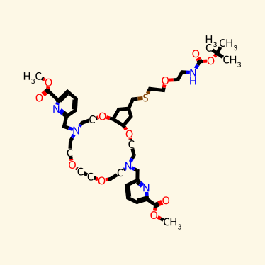 COC(=O)c1cccc(CN2CCOCCOCCN(Cc3cccc(C(=O)OC)n3)CCOC3CC(CSCCOCCNC(=O)OC(C)(C)C)CC3OCC2)n1